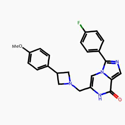 COc1ccc(C2CN(Cc3cn4c(-c5ccc(F)cc5)ncc4c(=O)[nH]3)C2)cc1